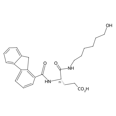 O=C(O)CC[C@H](NC(=O)c1cccc2c1Cc1ccccc1-2)C(=O)NCCCCCCO